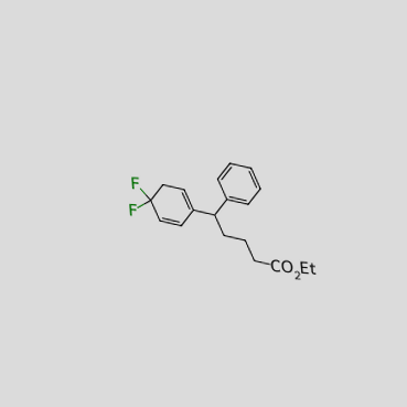 CCOC(=O)CCCC(C1=CCC(F)(F)C=C1)c1ccccc1